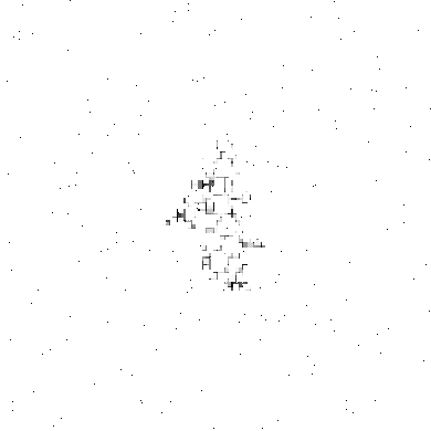 CCCCc1cc2c(=O)c3c4ccc(C#N)cc4[nH]c3n(C3CN(C)C3)c2cc1-c1cncc(S(=O)(=O)F)c1